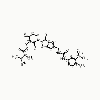 Cc1ccc(NC(=O)NCc2cc3c(s2)C(=O)N(C2CCC(=O)N(COC(=O)C(N)C(C)C)C2=O)C3)cc1N(C)C